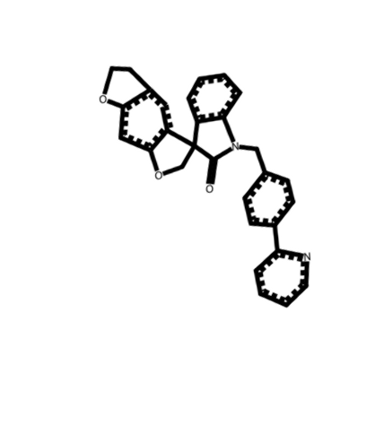 O=C1N(Cc2ccc(-c3ccccn3)cc2)c2ccccc2C12COc1cc3c(cc12)CCO3